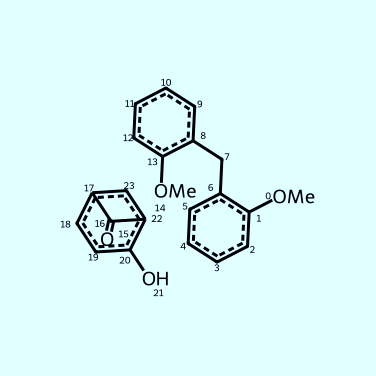 COc1ccccc1Cc1ccccc1OC.O=C1c2ccc(O)c1c2